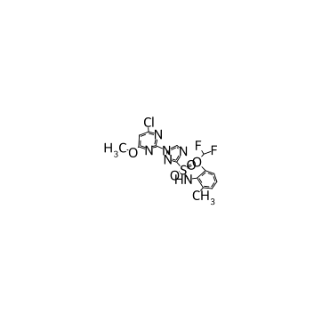 COc1cc(Cl)nc(-n2cnc(S(=O)(=O)Nc3c(C)cccc3OC(F)F)n2)n1